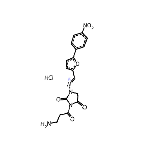 Cl.NCCC(=O)N1C(=O)CN(/N=C/c2ccc(-c3ccc([N+](=O)[O-])cc3)o2)C1=O